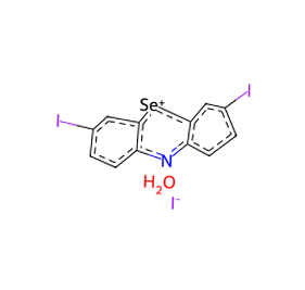 Ic1ccc2nc3ccc(I)cc3[se+]c2c1.O.[I-]